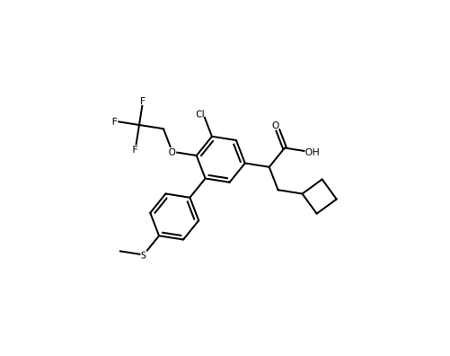 CSc1ccc(-c2cc(C(CC3CCC3)C(=O)O)cc(Cl)c2OCC(F)(F)F)cc1